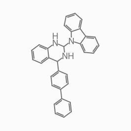 c1ccc(-c2ccc(C3NC(n4c5ccccc5c5ccccc54)Nc4ccccc43)cc2)cc1